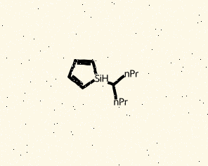 CCCC(CCC)[SiH]1C=CC=C1